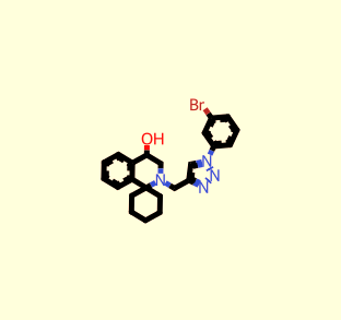 OC1CN(Cc2cn(-c3cccc(Br)c3)nn2)C2(CCCCC2)c2ccccc21